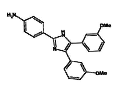 COc1cccc(-c2nc(-c3ccc(N)cc3)[nH]c2-c2cccc(OC)c2)c1